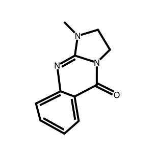 CN1CCn2c1nc1ccccc1c2=O